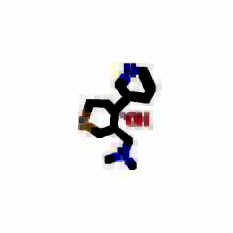 CN(C)C[C@H]1CSCC[C@@]1(O)c1cccnc1